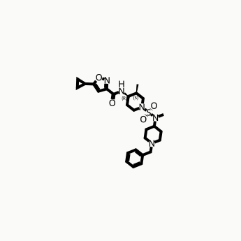 C[C@H]1CN(S(=O)(=O)N(C)C2CCN(Cc3ccccc3)CC2)CC[C@H]1NC(=O)c1cc(C2CC2)on1